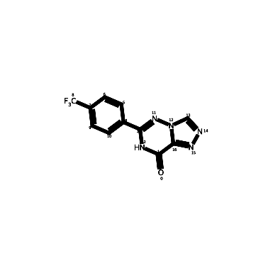 O=c1[nH]c(-c2ccc(C(F)(F)F)cc2)nn2cnnc12